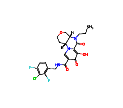 O=C(NCc1ccc(F)c(Cl)c1F)c1cn2c(c(O)c1=O)C(=O)N(CC[SiH3])[C@H]1COCC[C@H]12